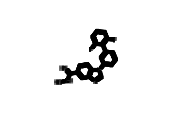 N=C(NO)c1ccc2c(c1)ncn2-c1cccc(-c2c(F)cccc2F)c1